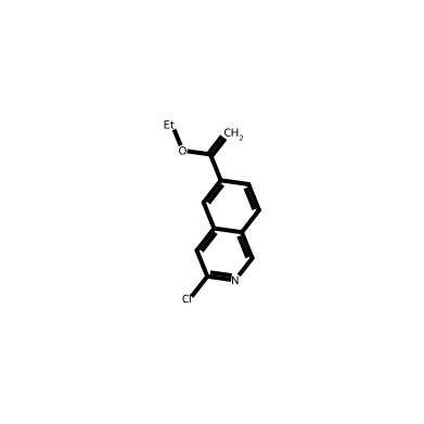 C=C(OCC)c1ccc2cnc(Cl)cc2c1